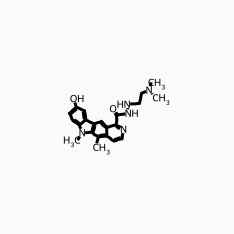 Cc1c2ccnc(C(=O)NNCCN(C)C)c2cc2c3cc(O)ccc3n(C)c12